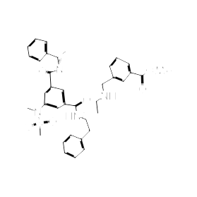 COC(=O)c1cccc(CNCC[C@H](Cc2ccccc2)NC(=O)c2cc(C(=O)N[C@H](C)c3ccccc3)cc(N(C)S(C)(=O)=O)c2)c1